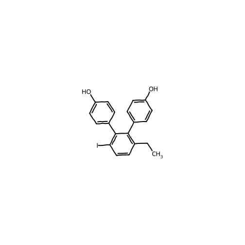 CCc1ccc(I)c(-c2ccc(O)cc2)c1-c1ccc(O)cc1